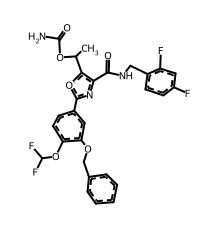 CC(OC(N)=O)c1oc(-c2ccc(OC(F)F)c(OCc3ccccc3)c2)nc1C(=O)NCc1ccc(F)cc1F